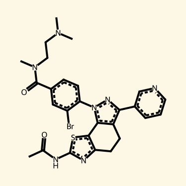 CC(=O)Nc1nc2c(s1)-c1c(c(-c3cccnc3)nn1-c1ccc(C(=O)N(C)CCN(C)C)cc1Br)CC2